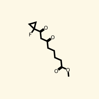 COC(=O)CCCCC(=O)CC(=O)C1(F)CC1